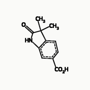 CC1(C)C(=O)Nc2cc(C(=O)O)ccc21